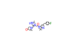 CC1CN(CC(=O)N2CC(C)(C)c3ncc(Cc4ccc(F)cc4)cc32)[C@@H](CN2CCC(=O)C[C@@H]2C)CN1